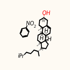 CC(C)CCCC(C)[C@H]1CC[C@H]2[C@@H]3CC=C4C[C@@H](O)CC[C@]4(C)[C@H]3CC[C@]12C.O=[N+]([O-])c1ccccc1